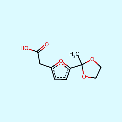 CC1(c2ccc(CC(=O)O)o2)OCCO1